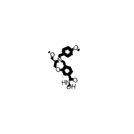 COC[C@@H]1COc2cc(C(=O)NO)ccc2CN1Cc1ccc(OC)cc1